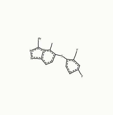 Cc1c(Sc2ccc(F)cc2F)ccc2nnc(C(C)C)n12